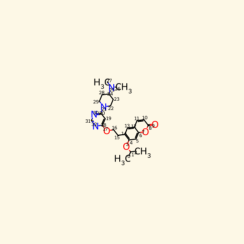 CC(C)Oc1cc2oc(=O)ccc2cc1CCOc1cc(N2CCC(N(C)C)CC2)ncn1